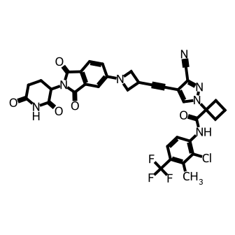 Cc1c(C(F)(F)F)ccc(NC(=O)C2(n3cc(C#CC4CN(c5ccc6c(c5)C(=O)N(C5CCC(=O)NC5=O)C6=O)C4)c(C#N)n3)CCC2)c1Cl